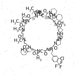 CC[C@H](C)[C@@H]1NC(=O)[C@H](CC(C)C)N(C)C(=O)C[C@@H](C(=O)N2CCCCC2)N(C)C(=O)[C@H](C2CCCCC2)N(C)C(=O)C2(CCC2)NC(=O)[C@@H]2CCCN2C(=O)[C@H](CCc2ccc(C(F)(F)F)c(Cl)c2)NC(=O)CN(C)C(=O)[C@H](CC2CCCCC2)N(C)C(=O)CN(C)C(=O)CN(C)C1=O